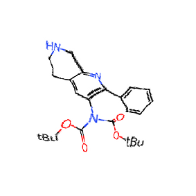 CC(C)(C)OC(=O)N(C(=O)OC(C)(C)C)c1cc2c(nc1-c1ccccc1)CNCC2